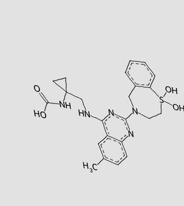 Cc1ccc2nc(N3CCS(O)(O)c4ccccc4C3)nc(NCC3(NC(=O)O)CC3)c2c1